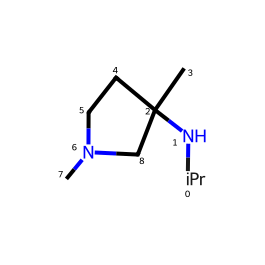 CC(C)NC1(C)CCN(C)C1